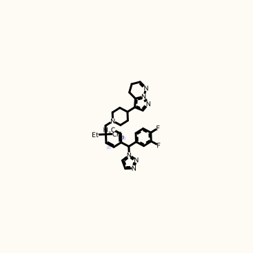 C/C=C(\C=C/C(C)(CC)CN1CCC(c2cnn3c2CCC=N3)CC1)C(c1ccc(F)c(F)c1)n1ccnn1